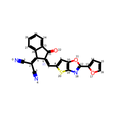 N#CC(C#N)=C1/C(=C/c2cc3oc(-c4ccco4)nc3s2)C(=O)c2ccccc21